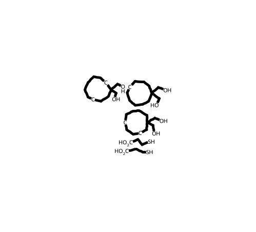 O=C(O)CCS.O=C(O)CCS.OCC1(CO)CCCCCCCCC1.OCC1(CO)CCCCCCCCC1.OCC1(CO)CCCCCCCCC1